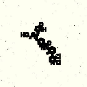 Cc1c(NC(=O)c2ccc(CN(C[C@@H]3CCC(=O)N3)C(=O)O)cn2)cccc1-c1ccnc(Cl)c1Cl